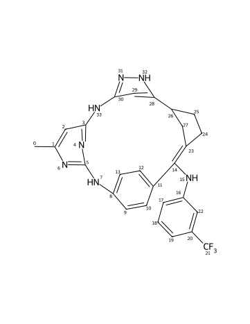 Cc1cc2nc(n1)Nc1ccc(cc1)/C(Nc1cccc(C(F)(F)F)c1)=C1\CCC(C1)c1cc(n[nH]1)N2